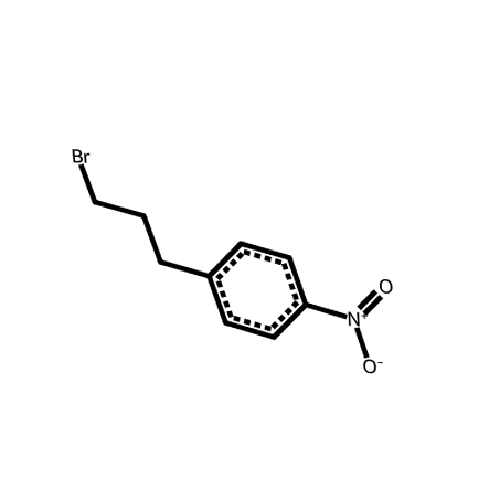 O=[N+]([O-])c1ccc(CCCBr)cc1